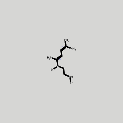 CCNCCN(CC)/C(N)=C/C=C(/C)N